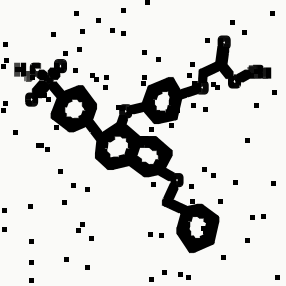 CC(C)(C)OC(=O)COc1ccc(Oc2c(-c3ccc(S(C)(=O)=O)cc3)ccc3cc(OCc4ccccc4)ccc23)cc1